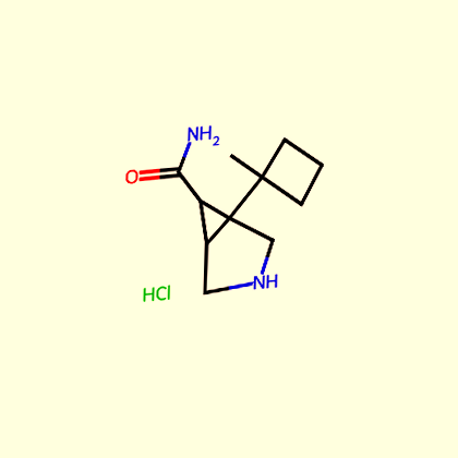 CC1(C23CNCC2C3C(N)=O)CCC1.Cl